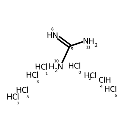 Cl.Cl.Cl.Cl.Cl.Cl.Cl.Cl.N=C(N)N